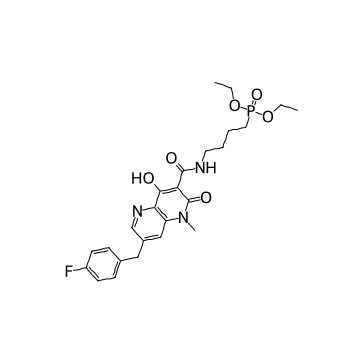 CCOP(=O)(CCCCNC(=O)c1c(O)c2ncc(Cc3ccc(F)cc3)cc2n(C)c1=O)OCC